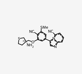 CSc1cc(-c2cnc3cccc(C#N)n23)cc(OC[C@@]2(N)CCSC2)c1C#N